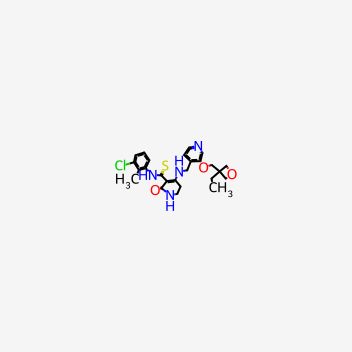 CCC1(COc2cnccc2CNC2=C(C(=S)Nc3cccc(Cl)c3C)C(=O)NCC2)COC1